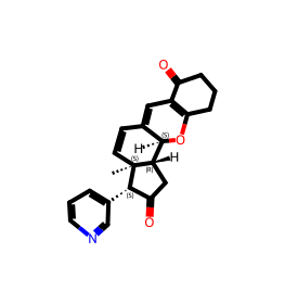 C[C@]12C=CC3=CC4=C(CCCC4=O)O[C@H]3[C@@H]1CC(=O)[C@@H]2c1cccnc1